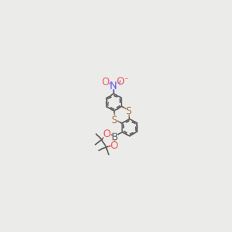 CC1(C)OB(c2cccc3c2Sc2ccc([N+](=O)[O-])cc2S3)OC1(C)C